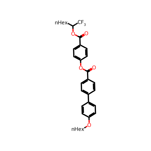 CCCCCCOc1ccc(-c2ccc(C(=O)Oc3ccc(C(=O)OC(CCCCCC)C(F)(F)F)cc3)cc2)cc1